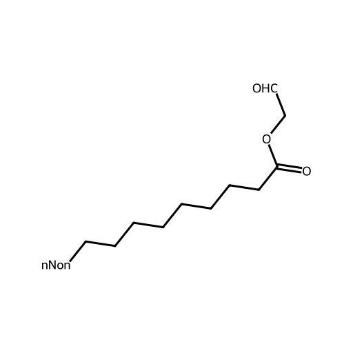 CCCCCCCCCCCCCCCCCC(=O)OCC=O